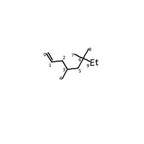 C=CCC(C)CC(C)(C)CC